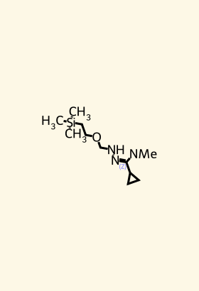 CN/C(=N\NCOCC[Si](C)(C)C)C1CC1